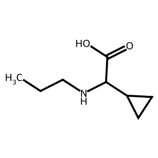 CCCNC(C(=O)O)C1CC1